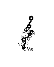 COC(C)(C)/C=C(\C#N)C(=O)N1CCC[C@@H](NC(=O)c2sc3nccc4c3c2NC(=O)N4c2ccc(CCc3ccccc3)cc2C)C1